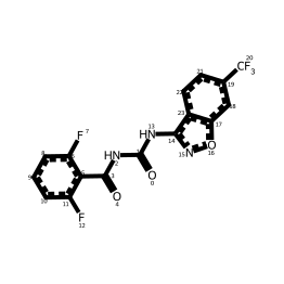 O=C(NC(=O)c1c(F)cccc1F)Nc1noc2cc(C(F)(F)F)ccc12